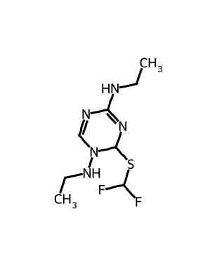 CCNC1=NC(SC(F)F)N(NCC)C=N1